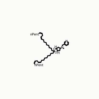 CCCCC/C=C\C/C=C\CCCCCCCCC1(CCCCCCCC/C=C\C/C=C\CCCCC)O[C@H]2CC(N(C)Cc3cccnc3)C[C@H]2O1